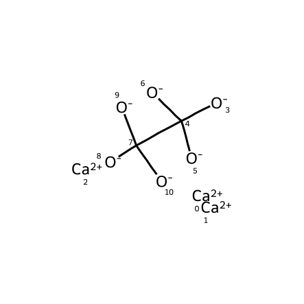 [Ca+2].[Ca+2].[Ca+2].[O-]C([O-])([O-])C([O-])([O-])[O-]